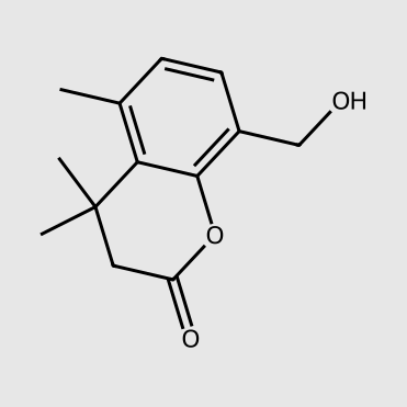 Cc1ccc(CO)c2c1C(C)(C)CC(=O)O2